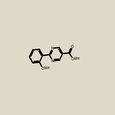 COC(=O)c1cnc(-c2ccccc2OC)nc1